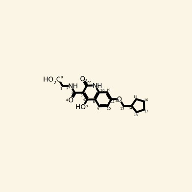 O=C(O)CNC(=O)c1c(O)c2ccc(OCC3CCCC3)cc2[nH]c1=O